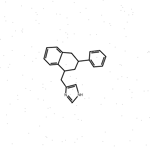 c1ccc(C2Cc3ccccc3C(Cc3c[nH]cn3)C2)cc1